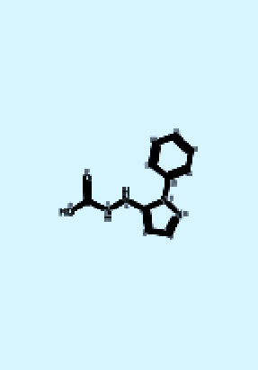 O=C(O)NNc1ccnn1-c1ccccc1